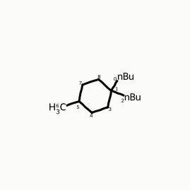 CCCCC1(CCCC)CCC(C)CC1